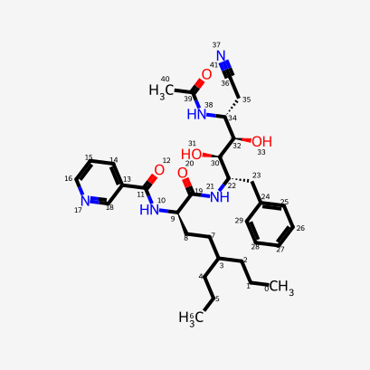 CCCC(CCC)CC[C@@H](NC(=O)c1cccnc1)C(=O)N[C@@H](Cc1ccccc1)[C@@H](O)[C@H](O)[C@@H](CC#N)NC(C)=O